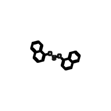 c1ccc2c(O[Si]Oc3cccc4ccccc34)cccc2c1